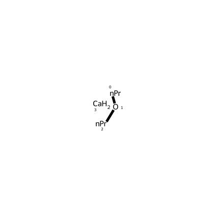 [CH2]CCOCCC.[CaH2]